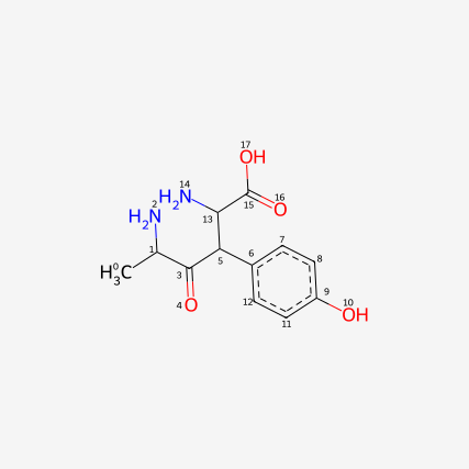 CC(N)C(=O)C(c1ccc(O)cc1)C(N)C(=O)O